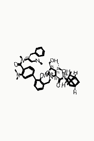 COc1c(CN2O[C@@H](CO)[C@H]([C@H](C)O)[C@H]2C(=O)N[C@H]2C[C@H]3C[C@@H]([C@@H]2C)C3(C)C)cccc1-c1ccc(C(=O)N(C)[C@@H](Cc2ccccc2)CN(C)C)c(N(C)C)c1